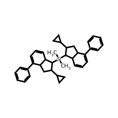 C[Si](C)(C1C2C=CC=C(c3ccccc3)C2CC1C1CC1)C1C2C=CC=C(c3ccccc3)C2CC1C1CC1